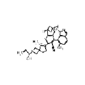 C=CC(O)N1CC2(CCN(c3nc4c(c(-c5c(C)ccc6cnn(C)c56)c3C#N)C[C@H]3C[C@@H]4C3)[C@H]2C)C1